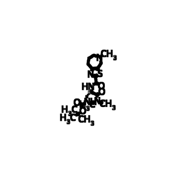 CN1CCCc2nc(C(=O)N[C@@H](CNC(=O)OC(C)(C)C)C(=O)N(C)C)sc2C1